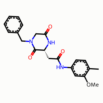 COc1cc(NC(=O)C[C@H]2NC(=O)CN(Cc3ccccc3)C2=O)ccc1C